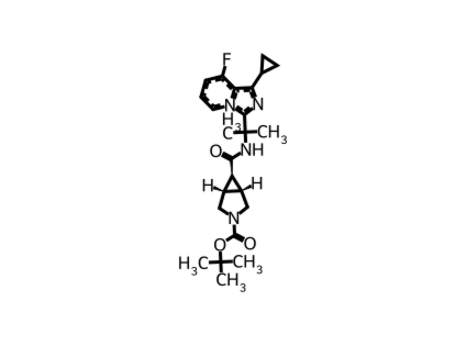 CC(C)(C)OC(=O)N1C[C@@H]2[C@H](C1)[C@H]2C(=O)NC(C)(C)c1nc(C2CC2)c2c(F)cccn12